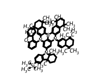 CC1(C)CCC(C)(C)c2cc3c(cc21)B1c2cc4c(cc2N(c2cccc5oc6ccccc6c25)c2cc(N5c6ccc([Si](C)(C)C)cc6C6(C)CCCCC56C)cc(c21)N3C1=CC2C(C=C1)C(C)(C)CCC2(C)C)C(C)(C)CCC4(C)C